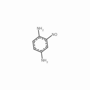 Nc1ccc(N)c(N=O)c1